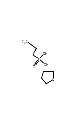 C1CCOC1.O=P(O)(O)OCC(Cl)(Cl)Cl